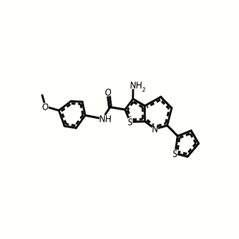 COc1ccc(NC(=O)c2sc3nc(-c4cccs4)ccc3c2N)cc1